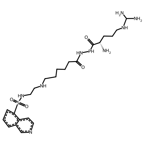 NC(N)NCCC[C@H](N)C(=O)PNC(=O)CCCCCNCCNS(=O)(=O)c1cccc2cnccc12